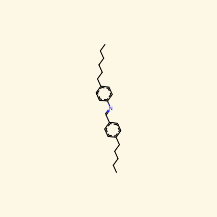 CCCCCCc1ccc(N=Cc2ccc(CCCCC)cc2)cc1